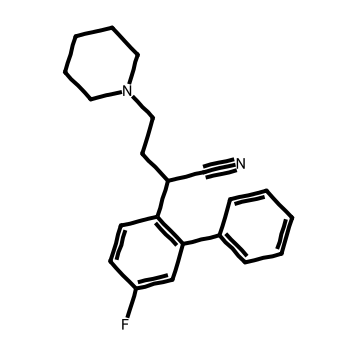 N#CC(CCN1CCCCC1)c1ccc(F)cc1-c1ccccc1